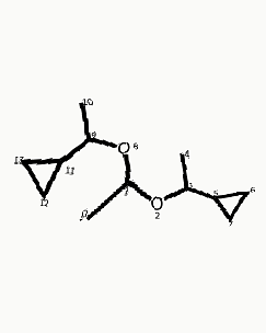 [CH2]C(OC(C)C1CC1)OC(C)C1CC1